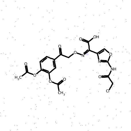 CC(=O)Oc1ccc(C(=O)CO/N=C(\C(=O)O)c2coc(NC(=O)CCl)n2)cc1OC(C)=O